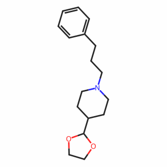 c1ccc(CCCN2CCC(C3OCCO3)CC2)cc1